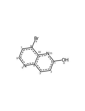 Oc1ccc2nccc(Br)c2n1